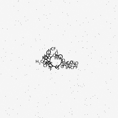 CO[C@@H](C)c1ncc(N2CCN(CC(F)(F)F)CC2)cc1-c1c2c3cc(c(F)cc3n1CC(F)(F)F)-c1csc(n1)C[C@H](NC(=O)[C@H](C(C)C)N1CC[C@@]3(CCN(C(=O)[C@H](F)Cl)C3)C1=O)C(=O)N1CCC[C@H](N1)C(=O)OCC(C)(C)C2